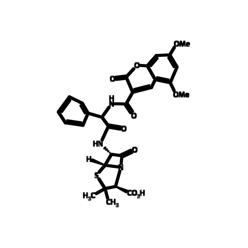 COc1cc(OC)c2cc(C(=O)NC(C(=O)N[C@@H]3C(=O)N4[C@@H]3SC(C)(C)[C@@H]4C(=O)O)c3ccccc3)c(=O)oc2c1